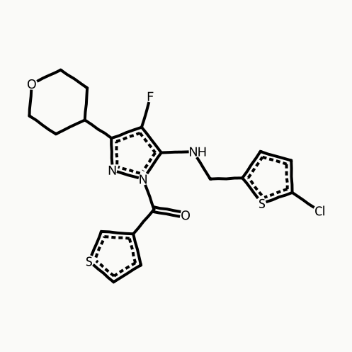 O=C(c1ccsc1)n1nc(C2CCOCC2)c(F)c1NCc1ccc(Cl)s1